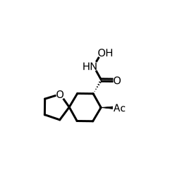 CC(=O)[C@H]1CCC2(CCCO2)C[C@@H]1C(=O)NO